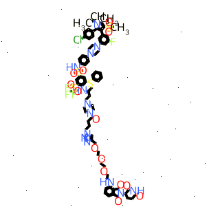 Cc1c(S(C)(=O)=O)c(-c2cc(F)cc(N3CCN(c4ccc(NS(=O)(=O)c5ccc(NC(CCN6CCN(C(=O)CCCn7cc(COCCOCCOCCNc8cccc9c8C(=O)N(C8CCC(=O)NC8=O)C9=O)nn7)CC6)CSc6ccccc6)c(S(=O)(=O)C(F)(F)F)c5)cc4)CC3)c2)c(-c2ccc(Cl)cc2)n1C(C)C